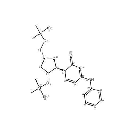 CC(C)(C)[Si](C)(C)OC[C@H]1[CH][C@@H](O[Si](C)(C)C(C)(C)C)[C@H](n2ccc(Nc3ccccc3)nc2=O)O1